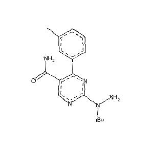 CCC(C)N(N)c1ncc(C(N)=O)c(-c2cccc(C)c2)n1